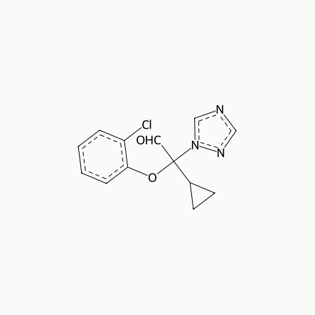 O=CC(Oc1ccccc1Cl)(C1CC1)n1cncn1